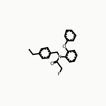 CCc1ccc(CN(C(=O)CF)c2ccccc2Oc2ccccc2)cc1